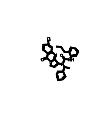 CCCc1ccccc1NC(=O)N(C(C)c1ccccc1)C1CCn2c1nc1cc(Cl)ccc1c2=O